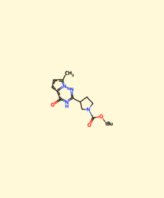 Cc1ccc2c(=O)[nH]c(C3CCN(C(=O)OC(C)(C)C)C3)nn12